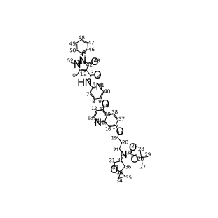 Cc1c(C(=O)Nc2ccc(Oc3ccnc4cc(OCCCN(C(=O)OC(C)(C)C)C5COC6(CC6)C5)ccc34)cn2)c(=O)n(-c2ccccc2)n1C